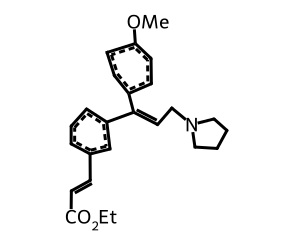 CCOC(=O)C=Cc1cccc(C(=CCN2CCCC2)c2ccc(OC)cc2)c1